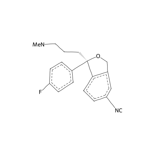 [C-]#[N+]c1ccc2c(c1)CO[C@]2(CCCNC)c1ccc(F)cc1